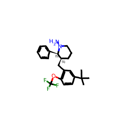 CC(C)(C)c1ccc(OC(F)(F)F)c(C[C@@H]2CCCN(N)[C@@H]2c2ccccc2)c1